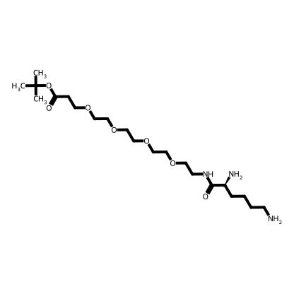 CC(C)(C)OC(=O)CCOCCOCCOCCOCCNC(=O)[C@@H](N)CCCCN